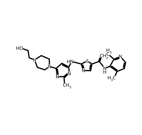 C=C(Nc1c(C)ccnc1C)c1cnc(Nc2cc(N3CCN(CCO)CC3)nc(C)n2)s1